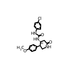 COc1ccc(C2CNC(=O)C[C@H]2NC(=O)Nc2ccc(Cl)cc2)cc1